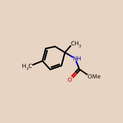 COC(=O)NC1(C)C=CC(C)=CC1